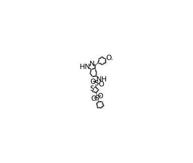 COc1ccc(-c2n[nH]c3ccc(NS(=O)(=O)c4cc(S(=O)(=O)c5ccccc5)cs4)cc23)cc1